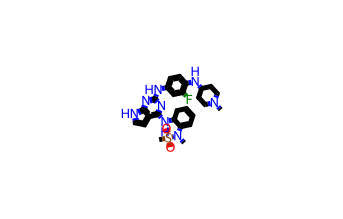 CN1CCC(Nc2ccc(Nc3nc(NC4CC=CC=C4N(C)S(C)(=O)=O)c4cc[nH]c4n3)cc2F)CC1